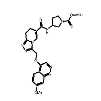 COc1ccc2c(OCc3nnc4n3C=C(C(=O)NC3CCN(C(=O)OC(C)(C)C)C3)CC4)ccnc2c1